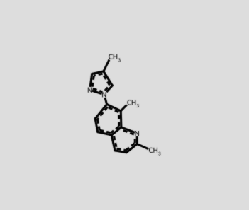 Cc1cnn(-c2ccc3ccc(C)nc3c2C)c1